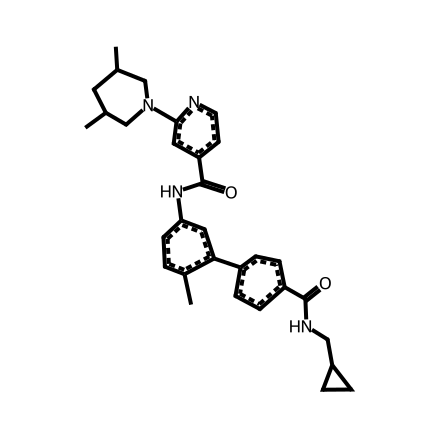 Cc1ccc(NC(=O)c2ccnc(N3CC(C)CC(C)C3)c2)cc1-c1ccc(C(=O)NCC2CC2)cc1